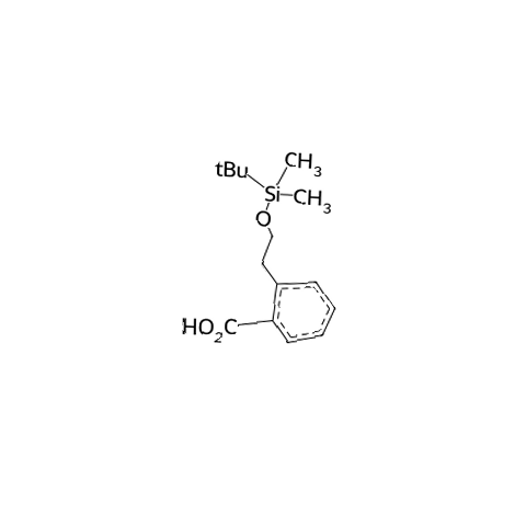 CC(C)(C)[Si](C)(C)OCCc1ccccc1C(=O)O